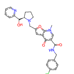 Cn1cc(C(=O)NCc2ccc(Cl)cc2)c(=O)c2cc(CN3CCC[C@@H]3C(O)c3ccccn3)oc21